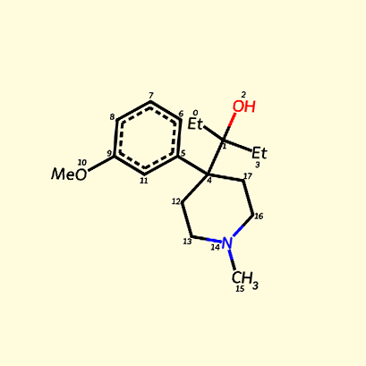 CCC(O)(CC)C1(c2cccc(OC)c2)CCN(C)CC1